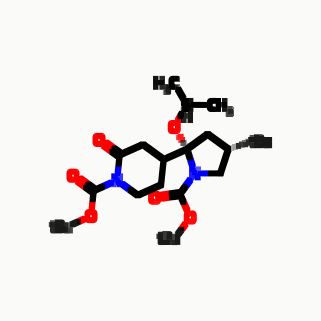 C[SiH](C)O[C@]1(C2CCN(C(=O)OC(C)(C)C)C(=O)C2)C[C@H](C(C)(C)C)CN1C(=O)OC(C)(C)C